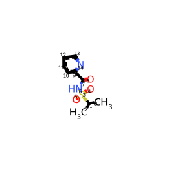 CC(C)S(=O)(=O)NC(=O)c1ccccn1